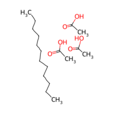 CC(=O)O.CC(=O)O.CC(=O)O.CCCCCCCCCCCC